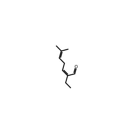 CCC(C=O)=CCC=C(C)C